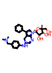 CN(C)Cc1ccc(NN2C=Nc3c(c(-c4ccccc4)cn3[C@@H]3O[C@](C)(CO)[C@H](O)[C@@H]3O)C2)cc1